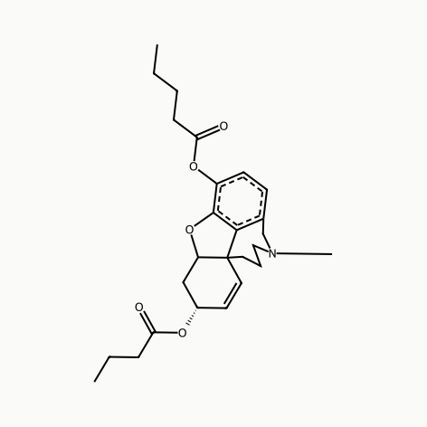 CCCCC(=O)Oc1ccc2c3c1OC1C[C@@H](OC(=O)CCC)C=CC31CCCN(C)C2